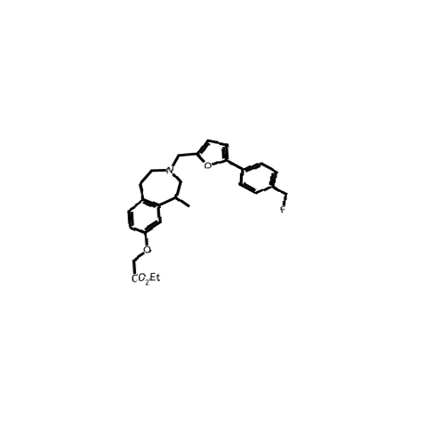 CCOC(=O)COc1ccc2c(c1)C(C)CN(Cc1ccc(-c3ccc(CF)cc3)o1)CC2